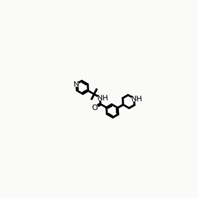 CC(C)(NC(=O)c1cccc(C2CCNCC2)c1)c1ccncc1